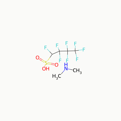 CNC.O=S(=O)(O)C(F)C(F)(F)C(F)(F)C(F)(F)F